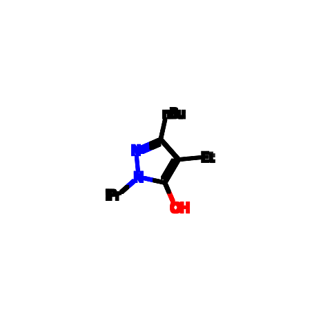 CCCCc1nn(C(C)C)c(O)c1CC